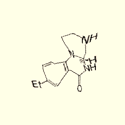 CCc1ccc2c(c1)C(=O)N[C@H]1CNCCN21